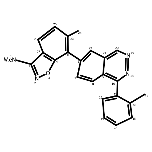 CNc1noc2c(-c3ccc4c(-c5ccccc5C)nncc4c3)c(C)ccc12